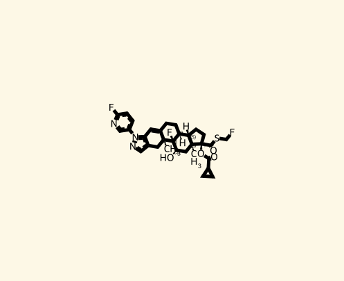 C[C@]12Cc3cnn(-c4ccc(F)nc4)c3C=C1CC[C@H]1[C@@H]3CC[C@](OC(=O)C4CC4)(C(=O)SCF)[C@@]3(C)C[C@H](O)[C@@]12F